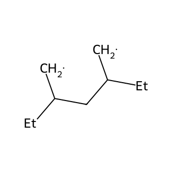 [CH2]C(CC)CC([CH2])CC